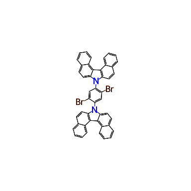 Brc1cc(-n2c3ccc4ccccc4c3c3c4ccccc4ccc32)c(Br)cc1-n1c2ccc3ccccc3c2c2c3ccccc3ccc21